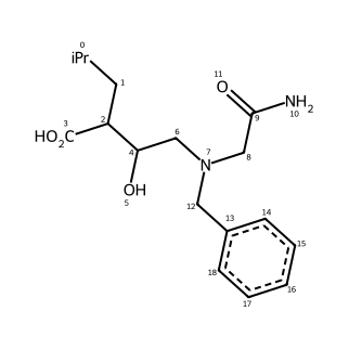 CC(C)CC(C(=O)O)C(O)CN(CC(N)=O)Cc1ccccc1